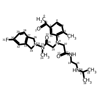 CC(=O)c1ccc(C)c(N(CC(=O)NCCNC(C)C)CC(=O)N(C)N2Cc3ccc(F)cc3C2)c1